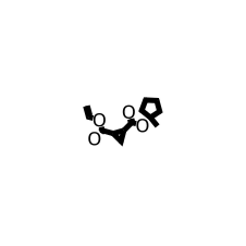 C=COC(=O)C1CC1C(=O)OC1(C)CCCC1